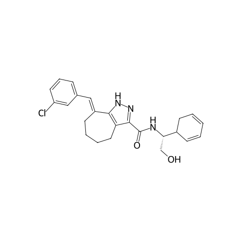 O=C(N[C@@H](CO)C1C=CC=CC1)c1n[nH]c2c1CCCC/C2=C\c1cccc(Cl)c1